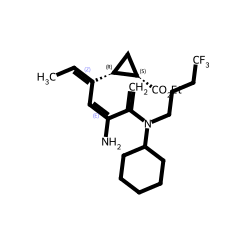 C=C(/C(N)=C\C(=C/C)[C@@H]1C[C@@H]1C(=O)OCC)N(CCCC(F)(F)F)C1CCCCC1